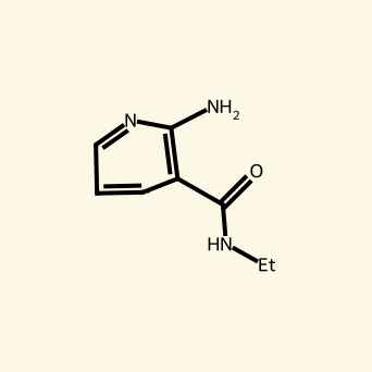 CCNC(=O)c1[c]ccnc1N